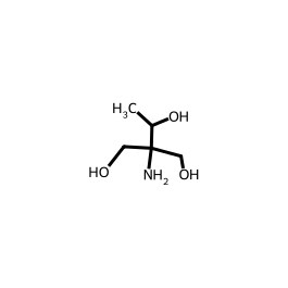 CC(O)C(N)(CO)CO